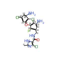 Cc1nc(Cl)c(C(=O)NCc2cc(N)c(Cl)c(Oc3cc(N)cc(Cl)c3)c2F)[nH]1